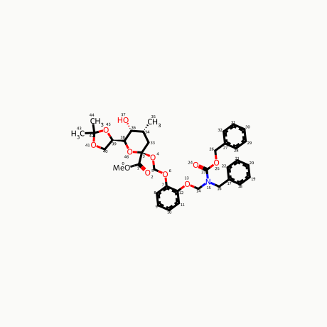 COC(=O)[C@@]1(OCOc2ccccc2OCN(Cc2ccccc2)C(=O)OCc2ccccc2)C[C@@H](C)[C@@H](O)C([C@H]2COC(C)(C)O2)O1